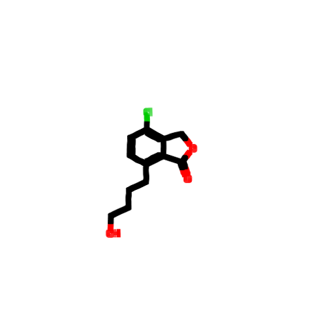 O=C1OCc2c(Cl)ccc(CCCCO)c21